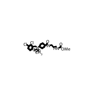 COC(=O)NCCCNC(=O)c1ccc(N(Cc2cccc(Cl)c2Cl)S(C)(=O)=O)cc1